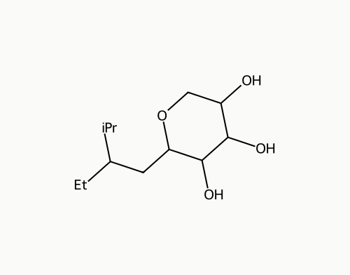 CCC(CC1OCC(O)C(O)C1O)C(C)C